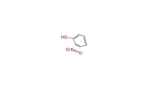 Oc1ccccc1.[O]=[Ti]=[O]